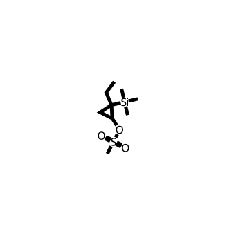 CCC1([Si](C)(C)C)CC1OS(C)(=O)=O